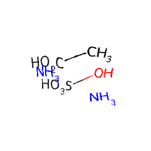 CC(=O)O.N.N.O=S(=O)(O)O